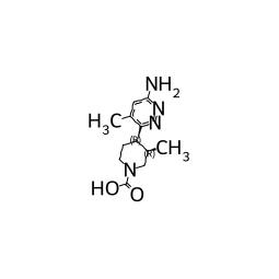 Cc1cc(N)nnc1[C@@H]1CCN(C(=O)O)C[C@@H]1C